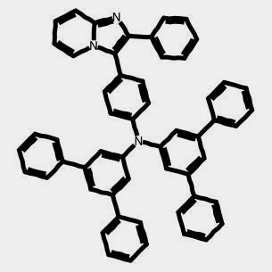 c1ccc(-c2cc(-c3ccccc3)cc(N(c3ccc(-c4c(-c5ccccc5)nc5ccccn45)cc3)c3cc(-c4ccccc4)cc(-c4ccccc4)c3)c2)cc1